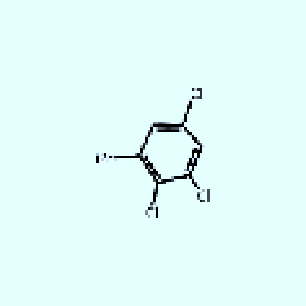 CC(C)c1cc(Cl)cc(Cl)c1Cl